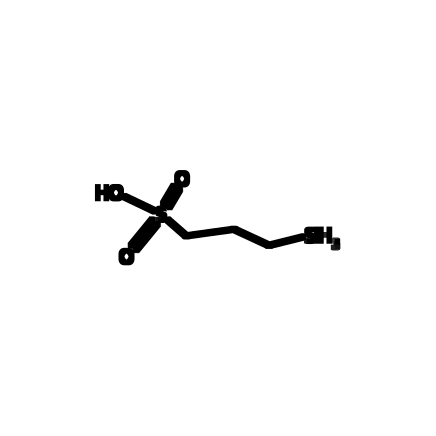 O=S(=O)(O)CCC[SiH3]